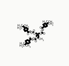 CCCC(COC(=O)OOC(=O)c1ccc(C(C)(C)C)cc1)(COC(=O)OOC(=O)c1ccc(C(C)(C)C)cc1)COC(=O)OOC(=O)c1ccc(C(C)(C)C)cc1